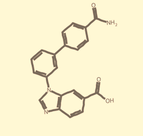 NC(=O)c1ccc(-c2cccc(-n3cnc4ccc(C(=O)O)cc43)c2)cc1